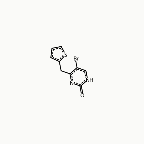 O=c1nc(Cc2cccs2)c(Br)c[nH]1